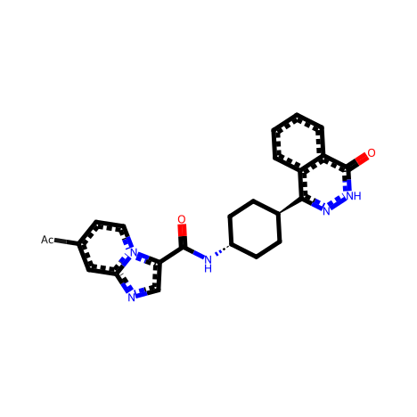 CC(=O)c1ccn2c(C(=O)N[C@H]3CC[C@H](c4n[nH]c(=O)c5ccccc54)CC3)cnc2c1